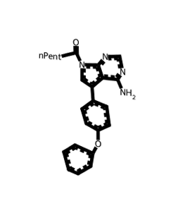 CCCCCC(=O)n1cc(-c2ccc(Oc3ccccc3)cc2)c2c(N)ncnc21